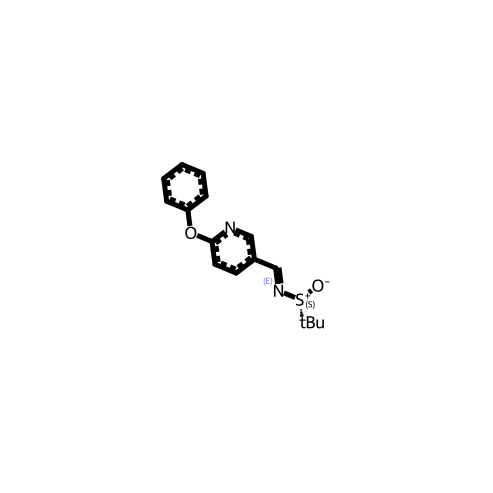 CC(C)(C)[S@@+]([O-])/N=C/c1ccc(Oc2ccccc2)nc1